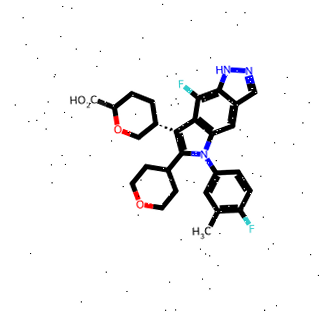 Cc1cc(-n2c(C3CCOCC3)c([C@H]3CCC(C(=O)O)OC3)c3c(F)c4[nH]ncc4cc32)ccc1F